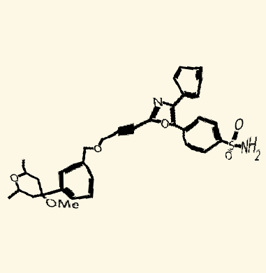 COC1(c2cccc(COCC#Cc3nc(-c4ccccc4)c(-c4ccc(S(N)(=O)=O)cc4)o3)c2)CC(C)OC(C)C1